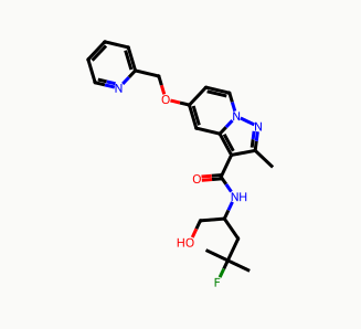 Cc1nn2ccc(OCc3ccccn3)cc2c1C(=O)NC(CO)CC(C)(C)F